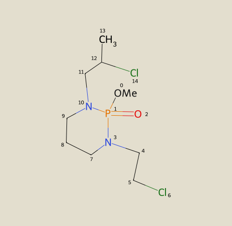 COP1(=O)N(CCCl)CCCN1CC(C)Cl